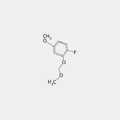 COCOc1cc(OC)ccc1F